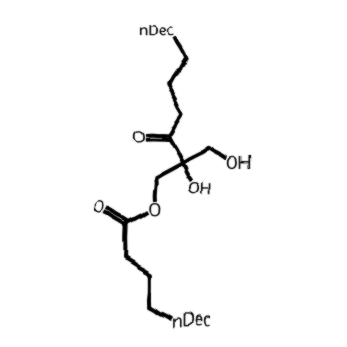 CCCCCCCCCCCCCC(=O)OCC(O)(CO)C(=O)CCCCCCCCCCCCC